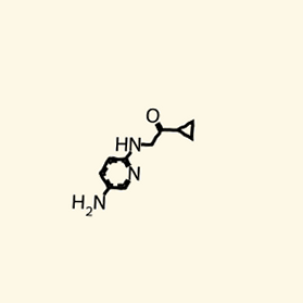 Nc1ccc(NCC(=O)C2CC2)nc1